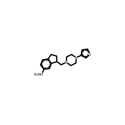 CC(=O)Nc1ccc2c(c1)C(CN1CCN(c3ccsc3)CC1)CC2